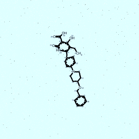 CCc1c(-c2ccc(N3CCC(OCc4ccccc4)CC3)cc2)[nH]c(=O)c(C(=O)O)c1O